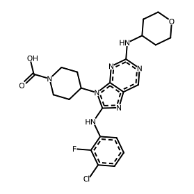 O=C(O)N1CCC(n2c(Nc3cccc(Cl)c3F)nc3cnc(NC4CCOCC4)nc32)CC1